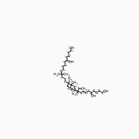 C=CC(C)(OCCC(C)(C)OCCOCC(O)COCCO)C(C)(CC)COC(C)(CC)CCOCC(O)COCCO